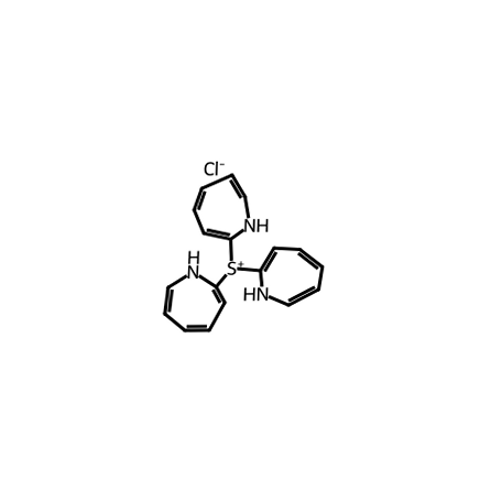 C1=CC=C([S+](C2=CC=CC=CN2)C2=CC=CC=CN2)NC=C1.[Cl-]